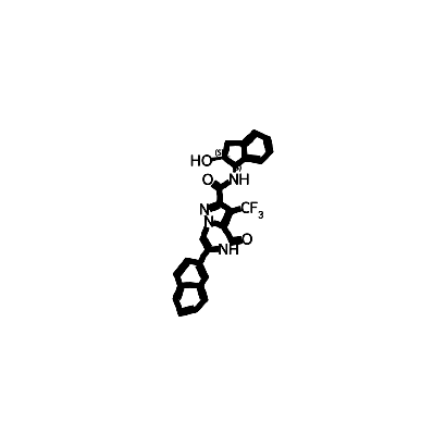 O=C(N[C@H]1c2ccccc2C[C@@H]1O)c1nn2cc(-c3ccc4ccccc4c3)[nH]c(=O)c2c1C(F)(F)F